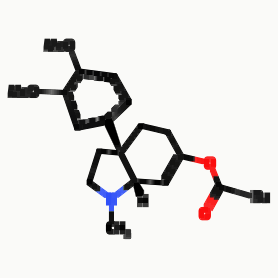 CCC(C)C(=O)OC1=C[C@@H]2N(C)CC[C@]2(c2ccc(OC)c(OC)c2)CC1